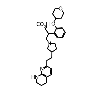 O=C(O)CC(CN1CCC(CCc2ccc3c(n2)NCCC3)C1)c1ccccc1OC1CCOCC1